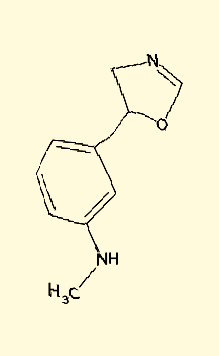 CNc1cccc(C2CN=CO2)c1